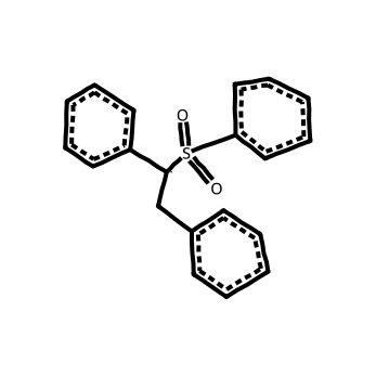 O=S(=O)([C](Cc1ccccc1)c1ccccc1)c1ccccc1